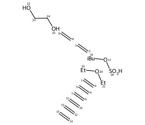 C=C.C=C.C=C.C=C.C=C.C=C.C=C.C=C.CCC(C)OS(=O)(=O)O.CCOCC.OCCO